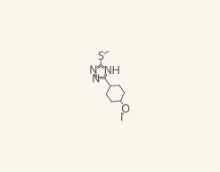 CSc1nnc(C2CCC(OI)CC2)[nH]1